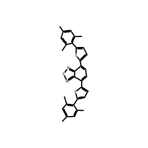 Cc1cc(C)c(-c2ccc(-c3ccc(-c4ccc(-c5c(C)cc(C)cc5C)s4)c4nsnc34)s2)c(C)c1